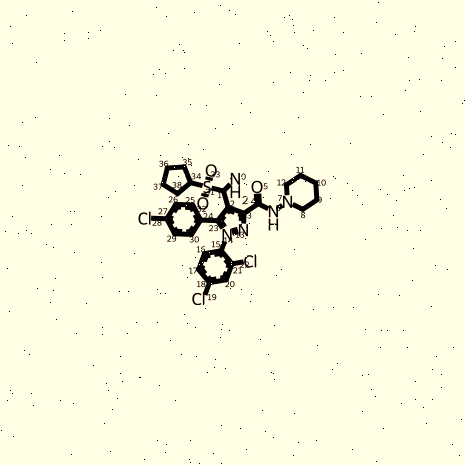 NC(c1c(C(=O)NN2CCCCC2)nn(-c2ccc(Cl)cc2Cl)c1-c1ccc(Cl)cc1)S(=O)(=O)C1CCCC1